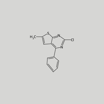 Cc1cc2c(-c3ccccc3)nc(Cl)nc2s1